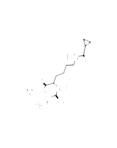 COC(=O)C(CCCCNC(=O)C1CC1)NC(=O)OC(C)(C)C